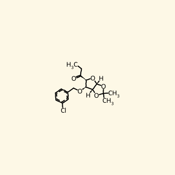 CCC(=O)[C@H]1O[C@@H]2OC(C)(C)O[C@@H]2[C@H]1OCc1cccc(Cl)c1